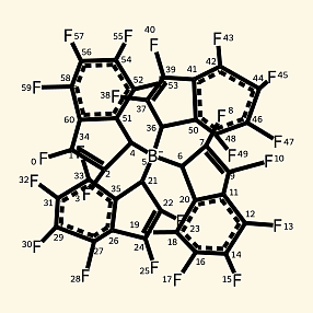 FC1=C(F)C([B-](C2C(F)=C(F)c3c(F)c(F)c(F)c(F)c32)(C2C(F)=C(F)c3c(F)c(F)c(F)c(F)c32)C2C(F)=C(F)c3c(F)c(F)c(F)c(F)c32)c2c(F)c(F)c(F)c(F)c21